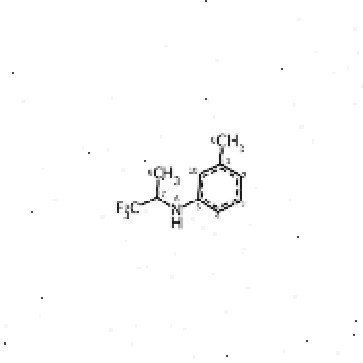 Cc1cccc(NC(C)C(F)(F)F)c1